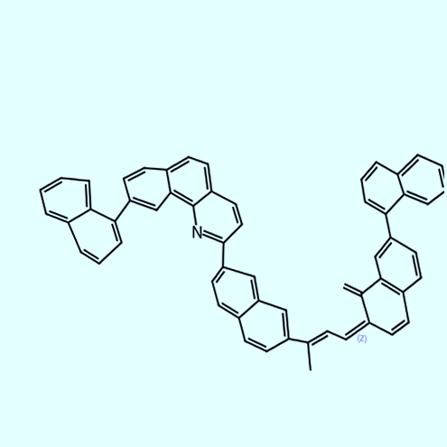 C=c1/c(=C\C=C(C)c2ccc3ccc(-c4ccc5ccc6ccc(-c7cccc8ccccc78)cc6c5n4)cc3c2)ccc2ccc(-c3cccc4ccccc34)cc12